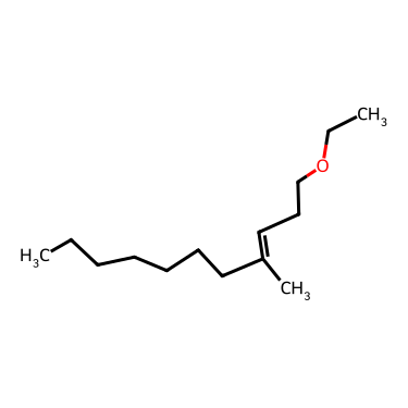 CCCCCCCC(C)=CCCOCC